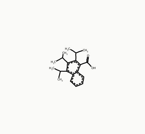 CC(C)c1c(C(C)C)c(C(C)C)c2ccccc2c1C(=O)O